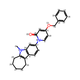 Cn1c2c(c3ccc(-n4ccc(OCc5ccccc5)cc4=O)cc31)CCCCC2